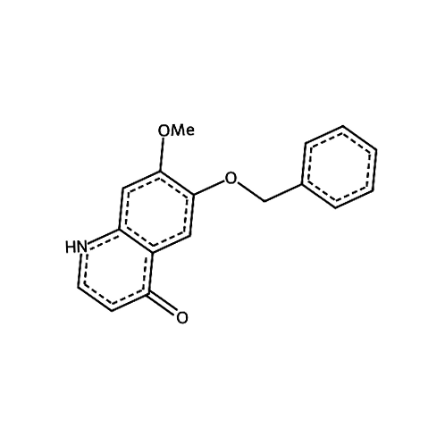 COc1cc2[nH]ccc(=O)c2cc1OCc1ccccc1